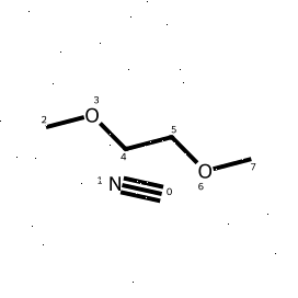 C#N.COCCOC